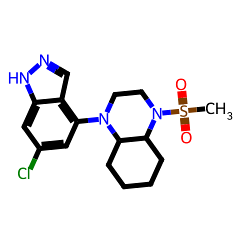 CS(=O)(=O)N1CCN(c2cc(Cl)cc3[nH]ncc23)C2CCCCC21